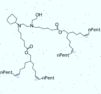 CCCCC/C=C\CCCC(CCC/C=C\CCCCC)COC(=O)CCCCCN(CCO)CCN(CCCCCC(=O)OCC(CCC/C=C\CCCCC)CCC/C=C\CCCCC)C1CCCCC1